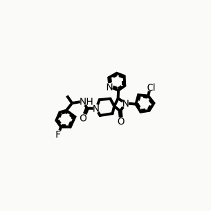 CC(NC(=O)N1CCC2(CC1)C(=O)N(c1cccc(Cl)c1)C2c1ccccn1)c1ccc(F)cc1